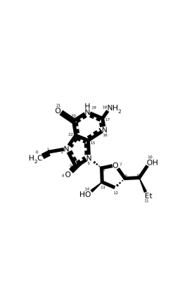 C=Cn1c(=O)n([C@@H]2O[C@H]([C@@H](O)CC)C[C@H]2O)c2nc(N)[nH]c(=O)c21